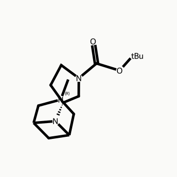 CN1CC2CC(C1)N2[C@@H]1CCN(C(=O)OC(C)(C)C)C1